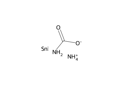 NC(=O)[O-].[NH4+].[Sn]